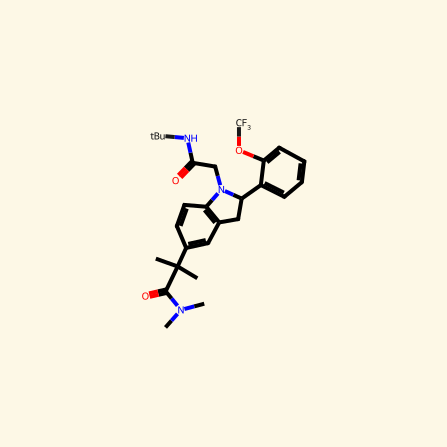 CN(C)C(=O)C(C)(C)c1ccc2c(c1)CC(c1ccccc1OC(F)(F)F)N2CC(=O)NC(C)(C)C